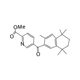 COC(=O)c1ccc(C(=O)c2cc3c(cc2C)C(C)(C)CCC3(C)C)cn1